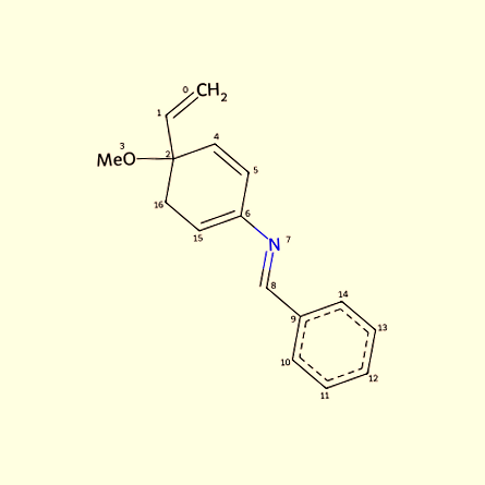 C=CC1(OC)C=CC(N=Cc2ccccc2)=CC1